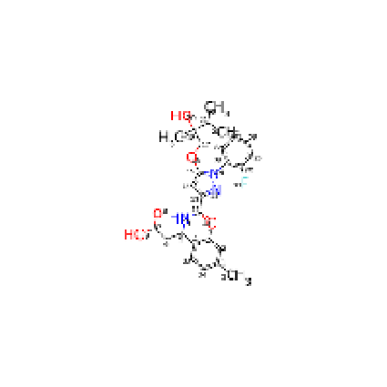 Cc1ccc(C(CC(=O)O)NC(=O)c2cc(OCC(C)(O)C(C)C)n(-c3ccccc3F)n2)cc1